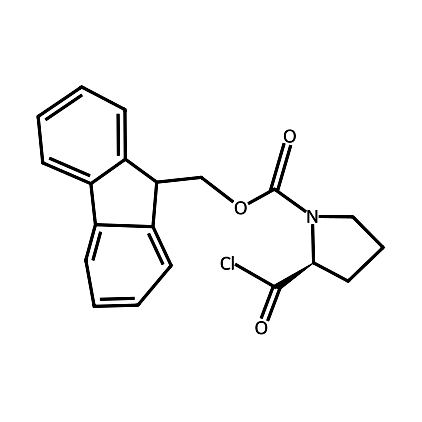 O=C(Cl)[C@@H]1CCCN1C(=O)OCC1c2ccccc2-c2ccccc21